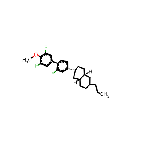 CCCC1CC[C@@H]2C[C@H](c3ccc(-c4cc(F)c(OC)c(F)c4)c(F)c3)CC[C@@H]2C1